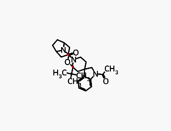 CC(=O)N1CC2(CCN(C3CC4CCC(C3)N4C(=O)OCC(C)(C)C)CC2)c2ccccc21